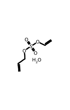 C=CCOS(=O)(=O)OC=C.O